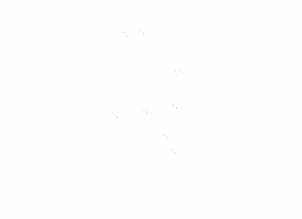 COc1c(Nc2cc(C)[nH]n2)nc(N(C)c2ccc(S(C)(=O)=O)cc2F)c(F)c1-c1cnn(C)c1